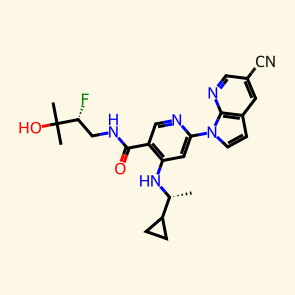 C[C@@H](Nc1cc(-n2ccc3cc(C#N)cnc32)ncc1C(=O)NC[C@@H](F)C(C)(C)O)C1CC1